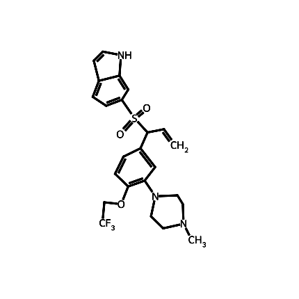 C=CC(c1ccc(OCC(F)(F)F)c(N2CCN(C)CC2)c1)S(=O)(=O)c1ccc2cc[nH]c2c1